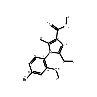 CCc1nc(C(=O)OC)c(C)n1-c1ccc(Br)cc1OC